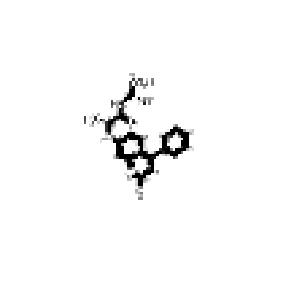 CC(C)[C@H](NC(=O)[C@@H](C)Oc1ccc2c(-c3ccccc3)cc(=O)oc2c1)C(=O)O